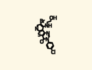 O=c1c2sc3ncc(Br)c(NCCO)c3c2ncn1-c1ccc(Cl)cc1